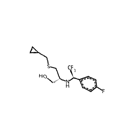 OC[C@H](CSCC1CC1)N[C@H](c1ccc(F)cc1)C(F)(F)F